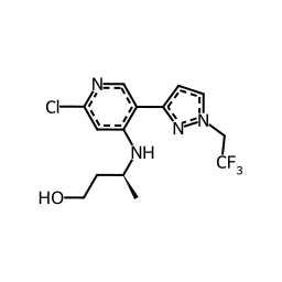 C[C@@H](CCO)Nc1cc(Cl)ncc1-c1ccn(CC(F)(F)F)n1